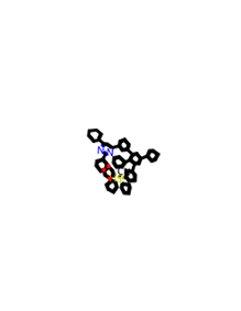 C[SH](c1ccccc1)(c1ccccc1)(c1ccccc1)c1cccc(-c2cc(-c3ccccc3)cc(-c3cccc(-c4cc(C5=CCCC=C5)nc(-c5ccccc5)n4)c3)c2-c2ccccc2)c1